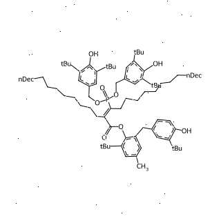 CCCCCCCCCCCCCCCCCCC(C(=O)Oc1c(Cc2ccc(O)c(C(C)(C)C)c2)cc(C)cc1C(C)(C)C)=C(CCCCCCCCCCCCCCCCCC)P(=O)(OCc1cc(C(C)(C)C)c(O)c(C(C)(C)C)c1)OCc1cc(C(C)(C)C)c(O)c(C(C)(C)C)c1